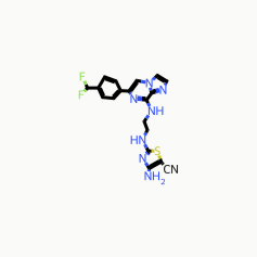 N#Cc1sc(NCCNc2nc(-c3ccc(C(F)F)cc3)cn3ccnc23)nc1N